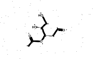 CC(=O)O[C@@H](CC=O)[C@H](O)CO